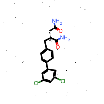 NC(=O)C[C@@H](Cc1ccc(-c2cc(Cl)cc(Cl)c2)cc1)C(N)=O